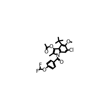 COc1c(Cl)cc2c(c(OC(C)=O)c(C)n2C(=O)c2ccc(OC(F)F)cc2)c1C(C)(C)C